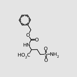 NS(=O)(=O)CCC(NC(=O)OCc1ccccc1)C(=O)O